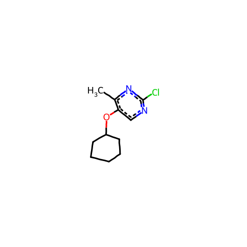 Cc1nc(Cl)ncc1OC1CCCCC1